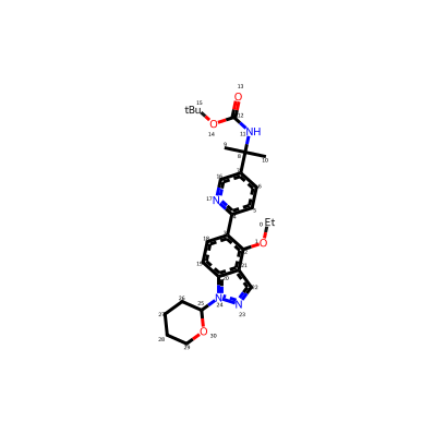 CCOc1c(-c2ccc(C(C)(C)NC(=O)OC(C)(C)C)cn2)ccc2c1cnn2C1CCCCO1